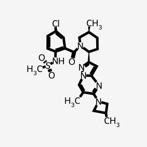 Cc1cn2nc([C@@H]3CC[C@H](C)CN3C(=O)c3cc(Cl)ccc3NS(C)(=O)=O)cc2nc1N1CC(C)C1